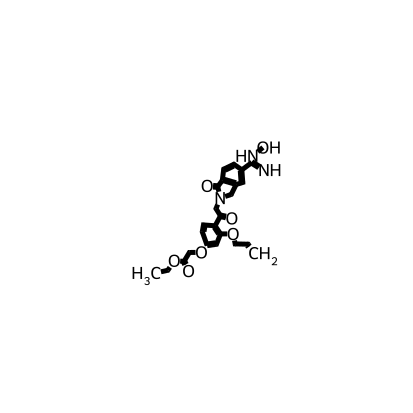 C=CCOc1cc(OCC(=O)OCC)ccc1C(=O)CN1Cc2cc(C(=N)NO)ccc2C1=O